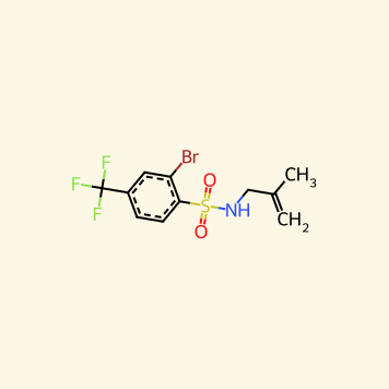 C=C(C)CNS(=O)(=O)c1ccc(C(F)(F)F)cc1Br